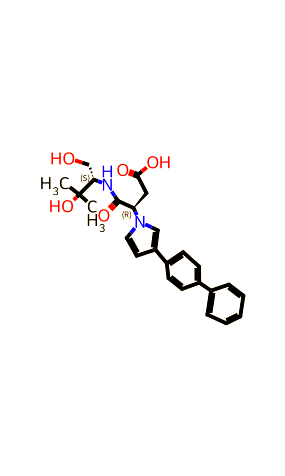 CC(C)(O)[C@H](CO)NC(=O)[C@@H](CC(=O)O)n1ccc(-c2ccc(-c3ccccc3)cc2)c1